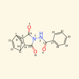 O=C(NN1C(=O)C2=C3C=CC=C(C=C3)C2C1=O)c1ccccc1